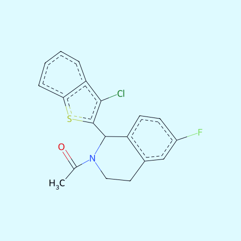 CC(=O)N1CCc2cc(F)ccc2C1c1sc2ccccc2c1Cl